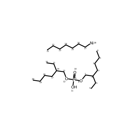 CCCCC(CC)COP(=O)(O)OCC(CC)CCCC.CCCCCC[CH2][Ni]